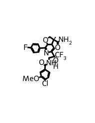 COc1cc(C(=O)NC[C@](O)(C2=CC3C(OC[C@]3(C)C(N)=O)C(c3ccc(F)cc3)=N2)C(F)(F)F)ccc1Cl